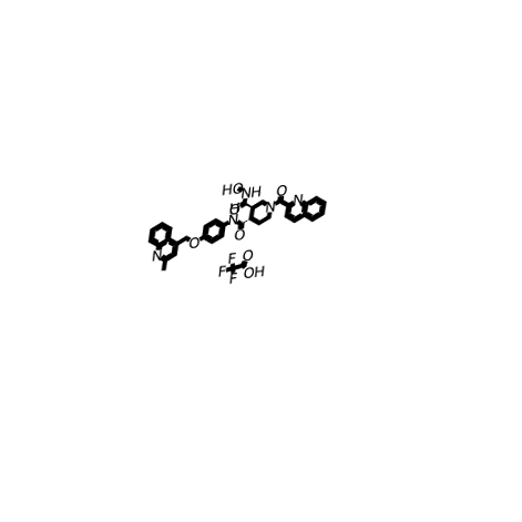 Cc1cc(COc2ccc(NC(=O)[C@H]3CCN(C(=O)c4ccc5ccccc5n4)C[C@@H]3C(=O)NO)cc2)c2ccccc2n1.O=C(O)C(F)(F)F